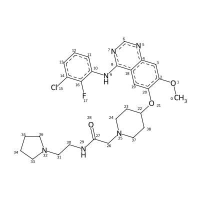 COc1cc2ncnc(Nc3cccc(Cl)c3F)c2cc1OC1CCN(CC(=O)NCCN2CCCC2)CC1